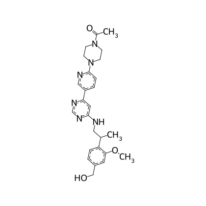 COc1cc(CO)ccc1C(C)CNc1cc(-c2ccc(N3CCN(C(C)=O)CC3)nc2)ncn1